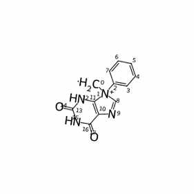 [CH2][N+]1(c2ccccc2)C=Nc2c1[nH]c(=O)[nH]c2=O